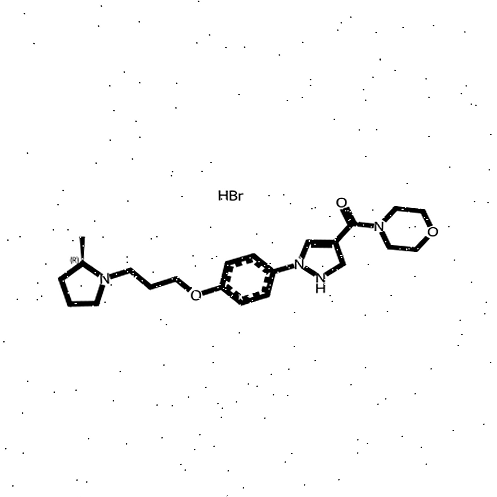 Br.C[C@@H]1CCCN1CCCOc1ccc(N2C=C(C(=O)N3CCOCC3)CN2)cc1